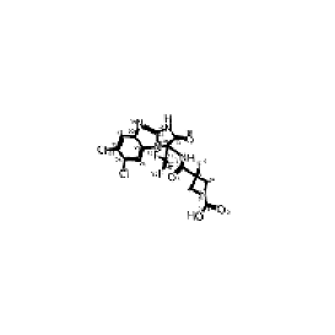 O=C(O)N1CC(F)(C(=O)NC2(C(F)(F)F)C(=O)NC3=NC4C=C(Cl)C(Cl)=C=C4N32)C1